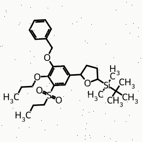 CCCOc1c(OCc2ccccc2)cc(C2CCC([Si](C)(C)C(C)(C)C)O2)cc1S(=O)(=O)CCC